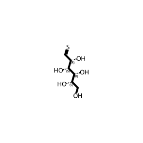 OC[C@H](O)[C@@H](O)[C@H](O)[C@@H](O)C=S